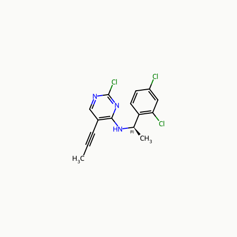 CC#Cc1cnc(Cl)nc1N[C@H](C)c1ccc(Cl)cc1Cl